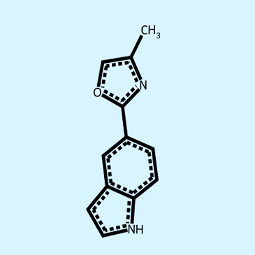 Cc1coc(-c2ccc3[nH]ccc3c2)n1